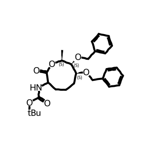 C[C@@H]1OC(=O)C(NC(=O)OC(C)(C)C)CCC[C@H](OCc2ccccc2)[C@H]1OCc1ccccc1